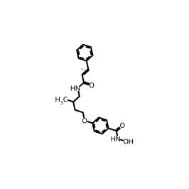 CC(CCOc1ccc(C(=O)NO)cc1)CNC(=O)/C=C/c1ccccc1